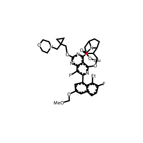 CCc1c(F)ccc2cc(OCOC)cc(-c3nc4c5c(nc(OCC6(CN7CCOCC7)CC6)nc5c3F)N3CC5CCC(C3CO4)N5C(=O)OC(C)(C)C)c12